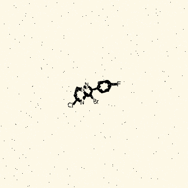 Fc1ccc(-c2nn3ccc(Cl)nc3c2Br)cc1